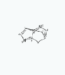 C1=C2CC3=CN=C(C2)C3=N1